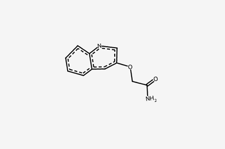 NC(=O)COc1cnc2ccccc2c1